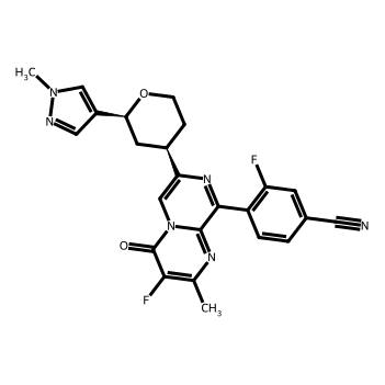 Cc1nc2c(-c3ccc(C#N)cc3F)nc([C@@H]3CCO[C@H](c4cnn(C)c4)C3)cn2c(=O)c1F